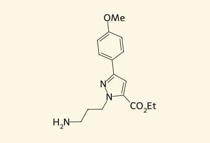 CCOC(=O)c1cc(-c2ccc(OC)cc2)nn1CCCN